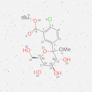 COC1(c2ccc(Cl)c(C(=O)OC(C)(C)C)c2)O[C@H](CO)[C@@H](O)[C@H](O)[C@H]1O